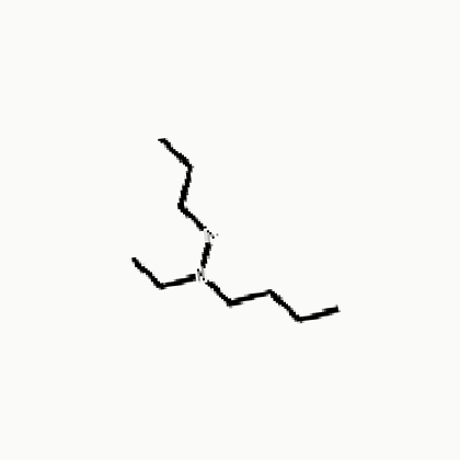 CCCCN(CC)[N]CCC